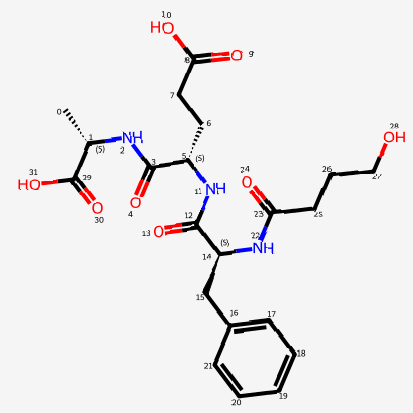 C[C@H](NC(=O)[C@H](CCC(=O)O)NC(=O)[C@H](Cc1ccccc1)NC(=O)CCCO)C(=O)O